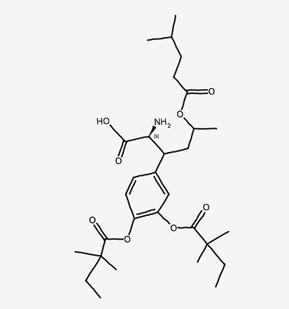 CCC(C)(C)C(=O)Oc1ccc(C(CC(C)OC(=O)CCC(C)C)[C@H](N)C(=O)O)cc1OC(=O)C(C)(C)CC